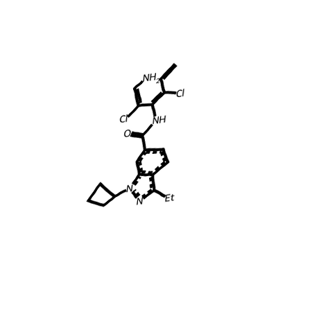 C=C/C(Cl)=C(NC(=O)c1ccc2c(CC)nn(C3CCC3)c2c1)\C(Cl)=C/N